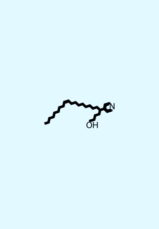 CCCCCCCC/C=C\CCCCCCCCC(CCCCO)c1ccncc1